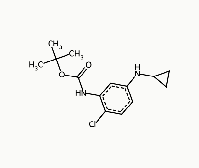 CC(C)(C)OC(=O)Nc1cc(NC2CC2)ccc1Cl